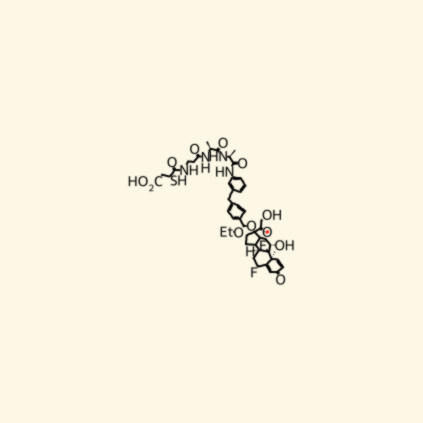 CCO[C@H](O[C@]1(C(=O)CO)CCC2[C@@H]3C[C@H](F)C4=CC(=O)C=C[C@]4(C)[C@@]3(F)[C@@H](O)C[C@@]21C)c1ccc(Cc2cccc(NC(=O)[C@H](C)NC(=O)[C@H](C)NC(=O)CCNC(=O)C(S)CC(=O)O)c2)cc1